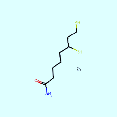 NC(=O)CCCCC(S)CCS.[Zn]